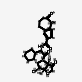 O=C1CCCc2cc(C(=O)N[C@H](C(=O)N3C[C@H](Cl)[C@H]4OCC(=O)[C@H]43)C3CCCCC3)ccc2N1